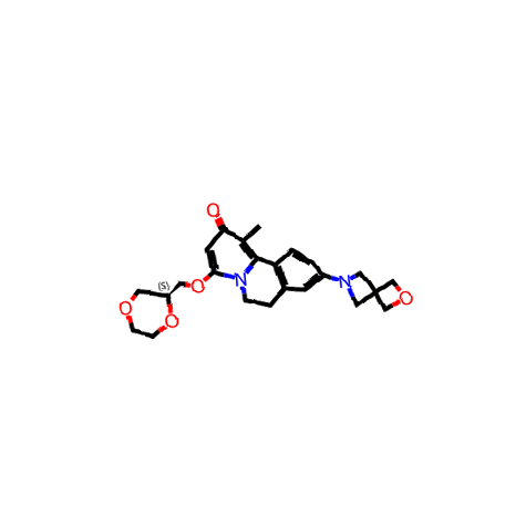 Cc1c2n(c(OC[C@@H]3COCCO3)cc1=O)CCc1cc(N3CC4(COC4)C3)ccc1-2